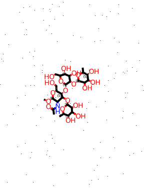 CO[C@@H]1OC(CO)[C@@H](O[C@@H]2OC(CO)[C@H](O)C(O)C2O[C@@H]2OC(C)[C@@H](O)C(O)C2O)C(O[C@@H]2OC(C)[C@@H](O)C(O)C2O)C1NC(C)=O